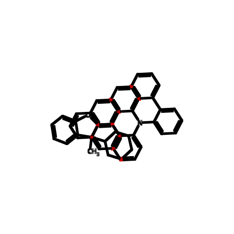 CC1(C2CCCCC2)CC=Cc2cccc(-c3ccccc3N(c3ccccc3-c3ccccc3)c3ccccc3-c3cccc4c3oc3ccccc34)c21